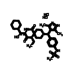 CCN1C(=O)[C@@H]([C@H](O)C2CCCCC2)NC(=O)C12CCN(C(c1ccc(NS(C)(=O)=O)cc1)c1c(C)n[nH]c1C)CC2.Cl.Cl